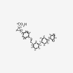 O=C(O)[C@H]1C[C@@H]1c1cnc(OCc2cccc(-c3ccc(-c4cnco4)cc3)c2)cn1